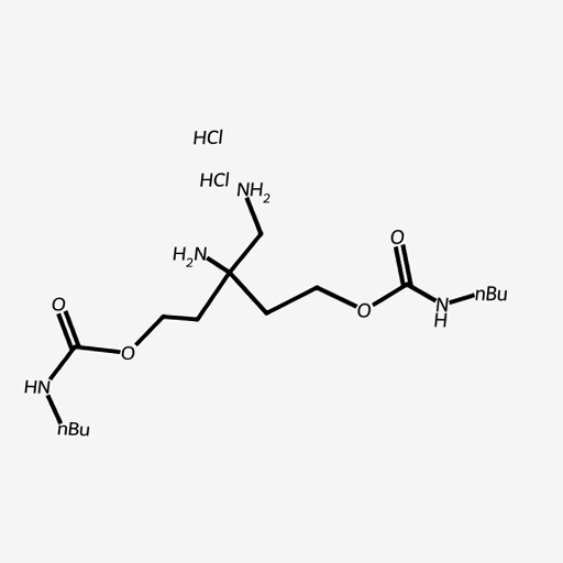 CCCCNC(=O)OCCC(N)(CN)CCOC(=O)NCCCC.Cl.Cl